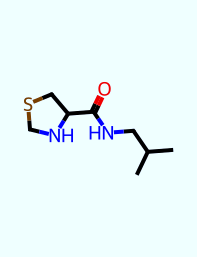 CC(C)CNC(=O)C1CSCN1